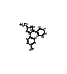 [CH2]c1cc(-c2ccc(Br)cc2)n(-c2ccccc2)n1